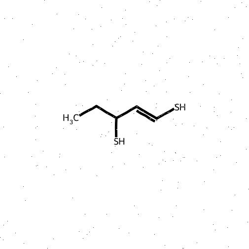 CCC(S)C=[C]S